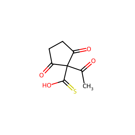 CC(=O)C1(C(O)=S)C(=O)CCC1=O